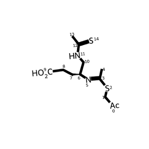 CC(=O)CSC(C)=N[C@@H](CCC(=O)O)CNC(C)=S